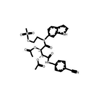 CC(=O)O[C@@H](C(=O)Nc1ccc(C#N)cc1)[C@@H](OC(C)=O)C(=O)N(CCOS(C)(=O)=O)c1ccc2cc[nH]c2c1